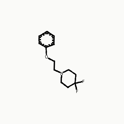 FC1(F)CCN(CCOc2ccccc2)CC1